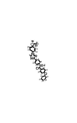 O=C(Nc1ccc(-c2ncn(-c3ccc(OC(F)(F)F)cc3)n2)cc1)c1ccc(Oc2ccccc2)cc1